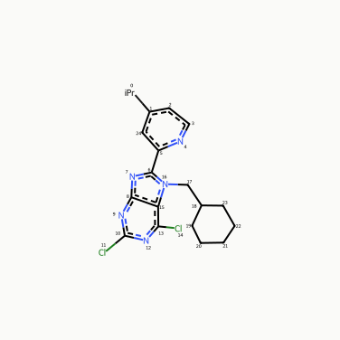 CC(C)c1ccnc(-c2nc3nc(Cl)nc(Cl)c3n2CC2CCCCC2)c1